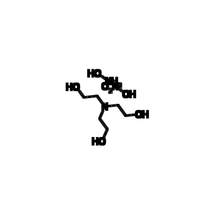 NO.O=[N+]([O-])O.OCCN(CCO)CCO